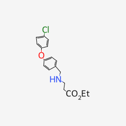 CCOC(=O)CCNCc1ccc(Oc2ccc(Cl)cc2)cc1